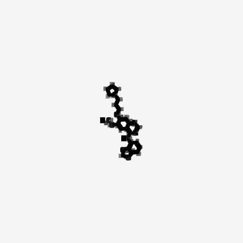 COc1cc2c(Nc3cccc4c3OCO4)ncnc2cc1OCCCN1CCCC1